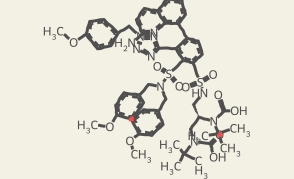 COc1ccc(CN(Cc2ccc(OC)cc2)S(=O)(=O)c2c(S(=O)(=O)NC[C@H](CN(C(=O)O)C(C)(C)C)N(C(=O)O)C(C)(C)C)ccc(-c3cccc4ccc(N)nc34)c2-c2nnn(Cc3ccc(OC)cc3)n2)cc1